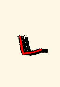 I.I.[NaH].[NaH].[NaH].[NaH].[NaH].[NaH].[NaH].[NaH].[NaH].[NaH].[NaH].[NaH].[NaH].[NaH].[NaH].[NaH].[NaH].[NaH].[NaH].[NaH].[NaH].[NaH].[NaH].[NaH].[NaH].[NaH].[NaH].[NaH].[NaH].[NaH].[NaH].[NaH].[NaH].[NaH].[NaH].[NaH].[NaH].[NaH].[NaH].[NaH].[NaH].[NaH].[NaH].[NaH].[NaH].[NaH].[NaH].[NaH].[NaH].[NaH].[NaH].[NaH].[NaH].[NaH].[NaH].[NaH].[NaH].[NaH].[NaH].[NaH].[NaH].[NaH].[NaH].[NaH].[NaH].[NaH].[NaH].[NaH].[NaH].[NaH].[NaH].[NaH].[NaH].[NaH].[NaH].[NaH].[NaH].[NaH].[NaH].[NaH].[NaH].[NaH].[NaH].[NaH].[NaH].[NaH].[NaH].[NaH].[NaH].[NaH].[NaH].[NaH].[NaH].[NaH].[NaH].[NaH].[NaH].[NaH].[NaH].[NaH].[NaH].[NaH].[NaH].[NaH].[NaH].[NaH].[NaH].[NaH].[NaH].[NaH].[NaH]